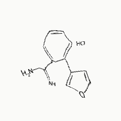 Cl.N=C(N)c1ccccc1-c1ccoc1